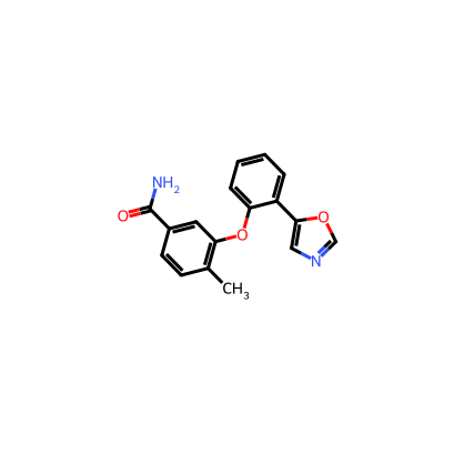 Cc1ccc(C(N)=O)cc1Oc1ccccc1-c1cnco1